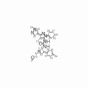 COCCN1C[C@@H](NC(=O)Nc2c(C)c(-c3cnn(C)c3)nn2-c2ccccc2)[C@H](c2ccc(C)cc2)C1